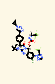 C[C@H](NC(=O)OC[C@H](c1ccc(Cl)c(-n2ncnc2C(F)F)c1)N1C(=N)N[C@](CC(C)(C)C)(c2ccc(-c3cn(C4CC4)nn3)cc2)C1=O)C(F)(F)F